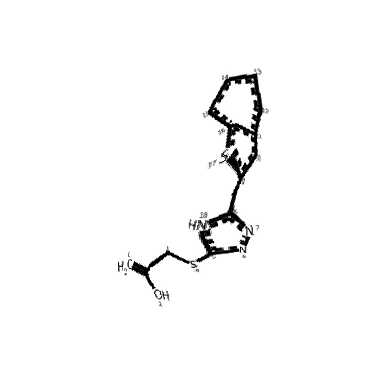 C=C(O)CSc1nnc(-c2cc3ccccc3s2)[nH]1